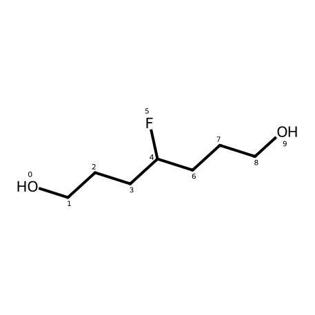 OCCCC(F)CCCO